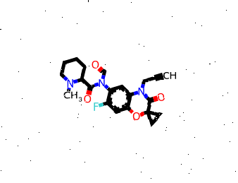 C#CCN1C(=O)C2(CC2)Oc2cc(F)c(N(C=O)C(=O)C3CCCCN3C)cc21